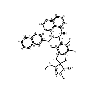 COC(=O)C1(C(=O)OC)Cc2c(C)c(C)c(B3Nc4cccc5cccc(c45)N3Cc3ccc4ccccc4c3)c(C)c2C1